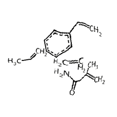 C=C.C=C(C)C(N)=O.C=CC.C=Cc1ccccc1